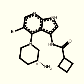 N[C@@H]1CCCN(c2c(Br)cnc3[nH]cc(NC(=O)C4CCC4)c23)C1